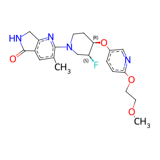 COCCOc1ccc(O[C@@H]2CCN(c3nc4c(cc3C)C(=O)NC4)C[C@@H]2F)cn1